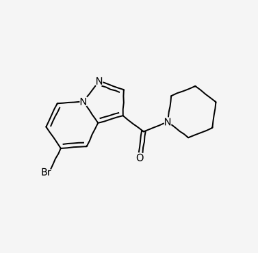 O=C(c1cnn2ccc(Br)cc12)N1CCCCC1